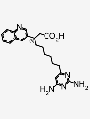 Nc1cc(CCCCCC[C@H](CC(=O)O)c2cnc3ccccc3c2)nc(N)n1